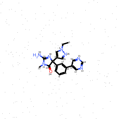 CCn1cc(C2(c3cccc(-c4cncnc4)c3)N=C(N)N(C)C2=O)cn1